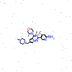 C[C@H]1COCCN1c1nc(-c2cnc(N)cc2C(F)(F)F)nn2cc(CN3CCN(C)CC3)cc12